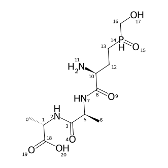 C[C@H](NC(=O)[C@H](C)NC(=O)[C@@H](N)CC[PH](=O)CO)C(=O)O